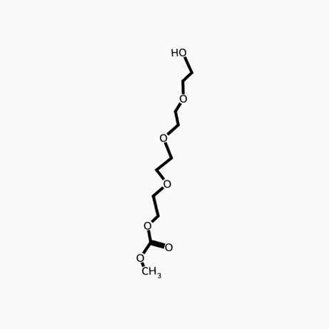 COC(=O)OCCOCCOCCOCCO